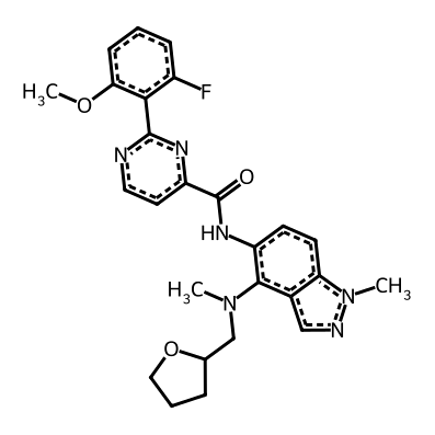 COc1cccc(F)c1-c1nccc(C(=O)Nc2ccc3c(cnn3C)c2N(C)CC2CCCO2)n1